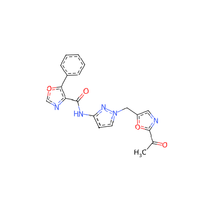 CC(=O)c1ncc(Cn2ccc(NC(=O)c3ncoc3-c3ccccc3)n2)o1